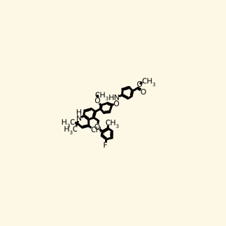 COC(=O)c1ccc(NOc2ccc(-c3ccc4c(c3COc3cc(F)ccc3C)C(C)=CC(C)(C)N4)c(OC)c2)cc1